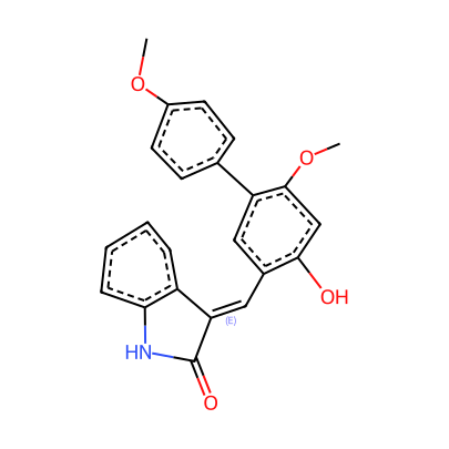 COc1ccc(-c2cc(/C=C3/C(=O)Nc4ccccc43)c(O)cc2OC)cc1